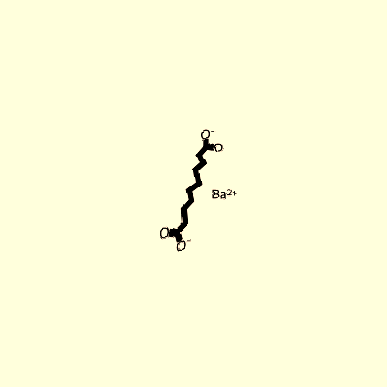 O=C([O-])CCCCCCCCC(=O)[O-].[Ba+2]